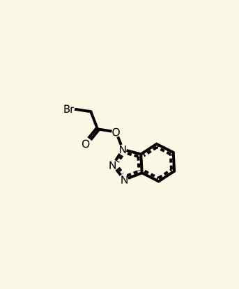 O=C(CBr)On1nnc2ccccc21